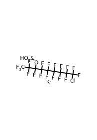 O=S(=O)(O)OC(F)(C(F)(F)C(F)(F)F)C(F)(F)C(F)(F)C(F)(F)C(F)(F)C(F)(F)C(F)(F)Cl.[K]